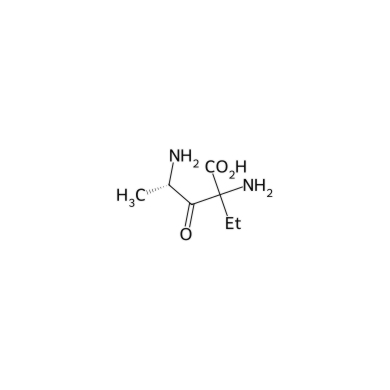 CCC(N)(C(=O)O)C(=O)[C@H](C)N